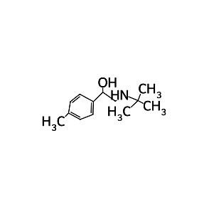 Cc1ccc(C(O)CNC(C)(C)C)cc1